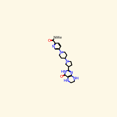 CNC(=O)c1ccc(N2CCC(N3CCC(c4nc5c(c(=O)[nH]4)NCCN5)C3)CC2)cn1